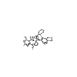 CSc1cc(C)nc(SC)c1NC(=O)Nc1cnc2ccc(C)cc2c1-c1ccccc1Cl